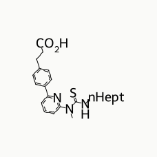 CCCCCCCNC(=S)N(C)c1cccc(-c2ccc(CCC(=O)O)cc2)n1